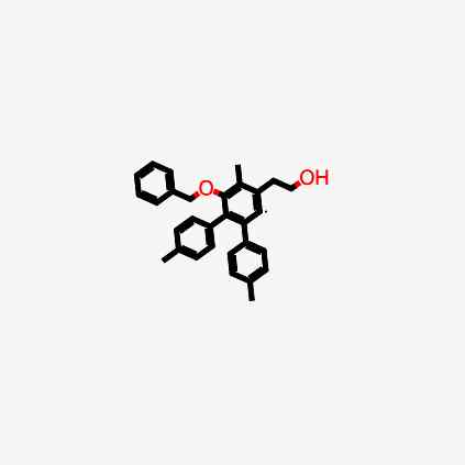 Cc1ccc(-c2[c]c(CCO)c(C)c(OCc3ccccc3)c2-c2ccc(C)cc2)cc1